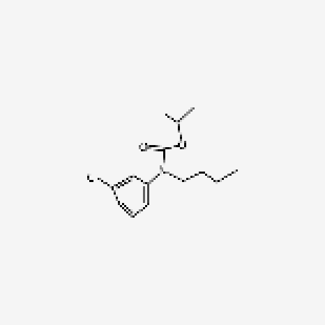 CCCCN(C(=O)OC(C)C)c1cccc(Cl)c1